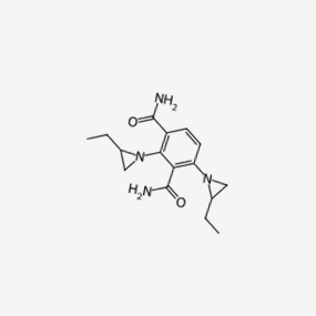 CCC1CN1c1ccc(C(N)=O)c(N2CC2CC)c1C(N)=O